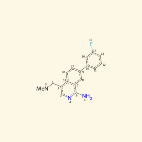 CNCc1cnc(N)c2cc(-c3cccc(F)c3)ccc12